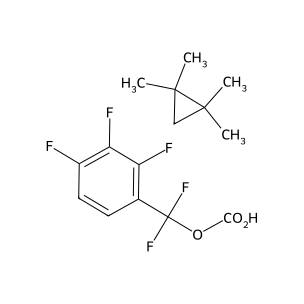 CC1(C)CC1(C)C.O=C(O)OC(F)(F)c1ccc(F)c(F)c1F